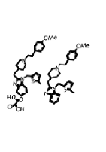 COc1ccc(CCN2CCC(Cc3nc4ccccc4n3Cc3ccc(C)s3)CC2)cc1.COc1ccc(CCN2CCC(Cc3nc4ccccc4n3Cc3ccc(C)s3)CC2)cc1.O=C(O)C(=O)O